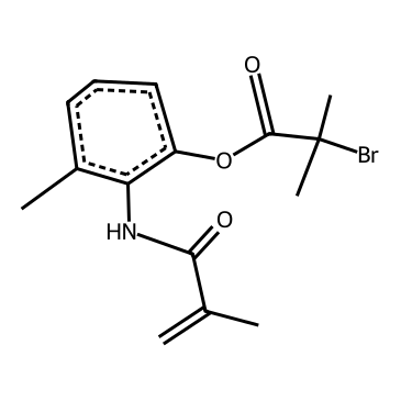 C=C(C)C(=O)Nc1c(C)cccc1OC(=O)C(C)(C)Br